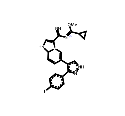 CO/C(=N\C(=N)C1=CNC2C=CC(c3c[nH]nc3-c3ccc(F)cc3)=CN12)C1CC1